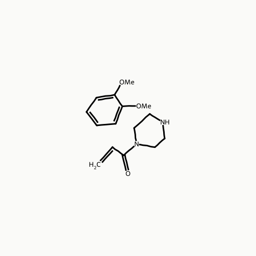 C=CC(=O)N1CCNCC1.COc1ccccc1OC